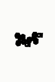 N#Cc1cc(-c2ccccc2-n2c3ccccc3c3ccccc32)ccc1-c1ccc(-n2c3ccccc3c3c(C#N)cccc32)cc1